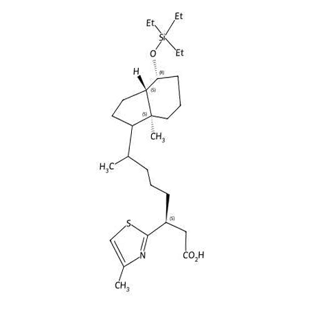 CC[Si](CC)(CC)O[C@@H]1CCC[C@@]2(C)C(C(C)CCC[C@@H](CC(=O)O)c3nc(C)cs3)CC[C@H]12